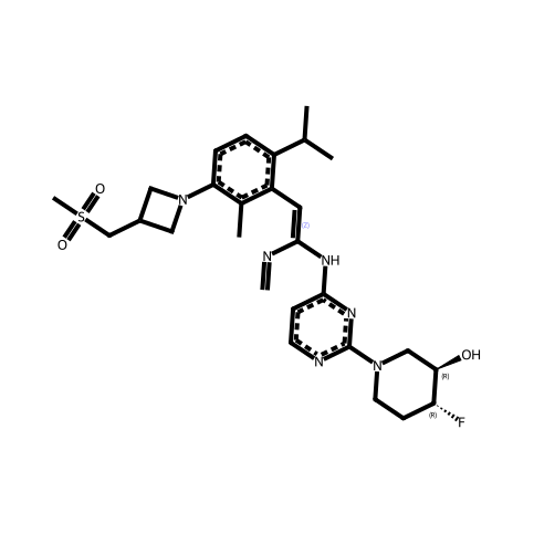 C=N/C(=C\c1c(C(C)C)ccc(N2CC(CS(C)(=O)=O)C2)c1C)Nc1ccnc(N2CC[C@@H](F)[C@H](O)C2)n1